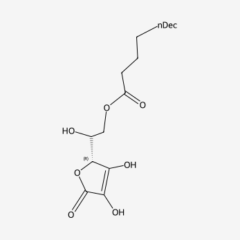 CCCCCCCCCCCCCC(=O)OCC(O)[C@H]1OC(=O)C(O)=C1O